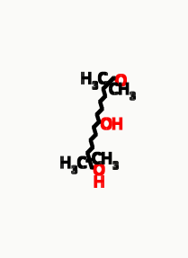 CC(C)(C=O)CCCCCC(O)CCCCCC(C)(C)CO